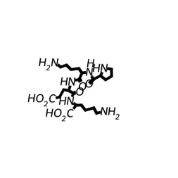 NCCCCC(NC(=O)C(CCC(=O)O)NC(=O)C(CCCCN)NC(=O)C1CCCN1)C(=O)O